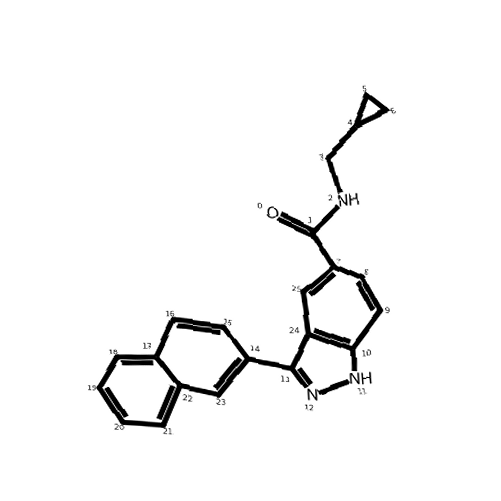 O=C(NCC1CC1)c1ccc2[nH]nc(-c3ccc4ccccc4c3)c2c1